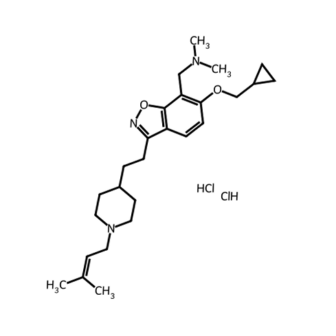 CC(C)=CCN1CCC(CCc2noc3c(CN(C)C)c(OCC4CC4)ccc23)CC1.Cl.Cl